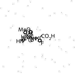 COc1ccc(C[C@H](NC(=O)[C@H](Cc2c[nH]cn2)NC(=O)c2ccccc2)C(=O)N2CC(CCCC(=O)O)(c3ccc(F)cc3)C2)cc1